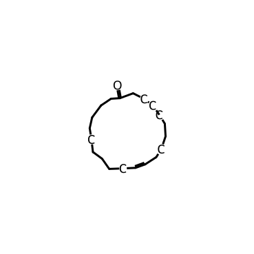 O=C1CCCCCCCC/C=C\CCCCCCCCC1